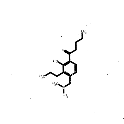 CCCCC(=O)c1ccc(CN(C)C)c(CCC)c1O